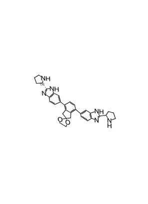 c1cc2nc(C3CCCN3)[nH]c2cc1-c1ccc(-c2ccc3nc([C@@H]4CCCN4)[nH]c3c2)c2c1CC1(C2)OCCO1